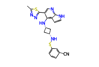 Cc1nnc(-c2cnc3[nH]ccc3c2N[C@H]2C[C@@H](NSc3cccc(C#N)c3)C2)s1